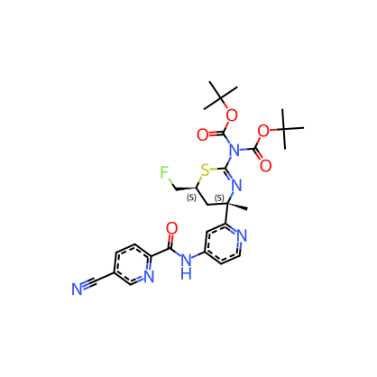 CC(C)(C)OC(=O)N(C(=O)OC(C)(C)C)C1=N[C@](C)(c2cc(NC(=O)c3ccc(C#N)cn3)ccn2)C[C@@H](CF)S1